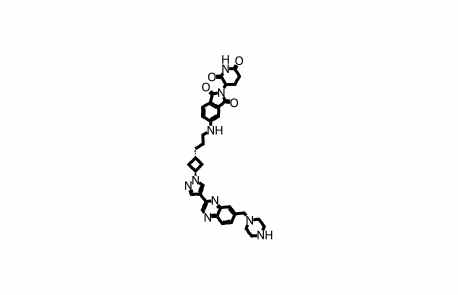 O=C1CCC(N2C(=O)c3ccc(NCCC[C@H]4C[C@H](n5cc(-c6cnc7ccc(CN8CCNCC8)cc7n6)cn5)C4)cc3C2=O)C(=O)N1